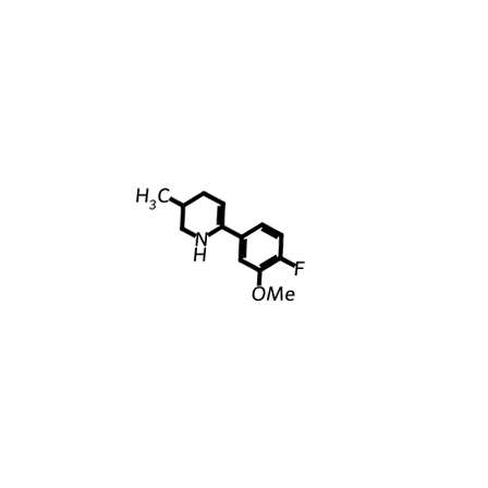 COc1cc(C2=CCC(C)CN2)ccc1F